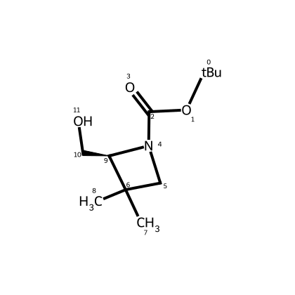 CC(C)(C)OC(=O)N1CC(C)(C)[C@H]1CO